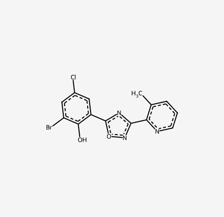 Cc1cccnc1-c1noc(-c2cc(Cl)cc(Br)c2O)n1